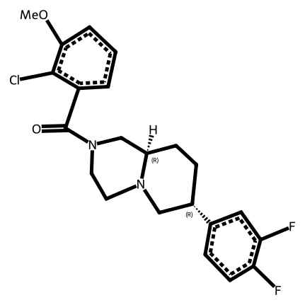 COc1cccc(C(=O)N2CCN3C[C@@H](c4ccc(F)c(F)c4)CC[C@@H]3C2)c1Cl